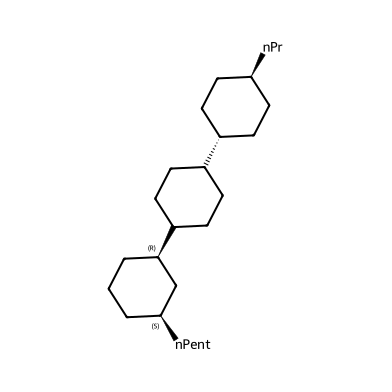 CCCCC[C@H]1CCC[C@@H](C2CCC([C@H]3CC[C@H](CCC)CC3)CC2)C1